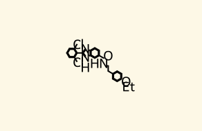 CCOc1ccc(CCNC(=O)c2ccc3nc(-c4c(Cl)cccc4Cl)[nH]c3c2)cc1